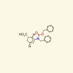 O=C(O)[C@H]1C[C@@H]2C[C@H]1[C@@H](N(Cc1ccccc1)C(=O)OCc1ccccc1)C2